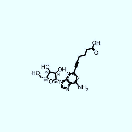 Nc1nc(C#CCCCC(=O)O)nc2c1ncn2[C@@H]1O[C@H](CO)[C@@H](O)[C@H]1O